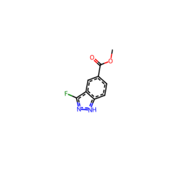 COC(=O)c1ccc2[nH]nc(F)c2c1